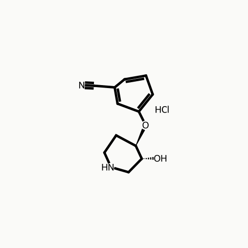 Cl.N#Cc1cccc(O[C@@H]2CCNC[C@H]2O)c1